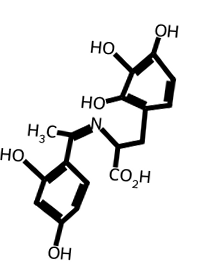 CC(=NC(Cc1ccc(O)c(O)c1O)C(=O)O)c1ccc(O)cc1O